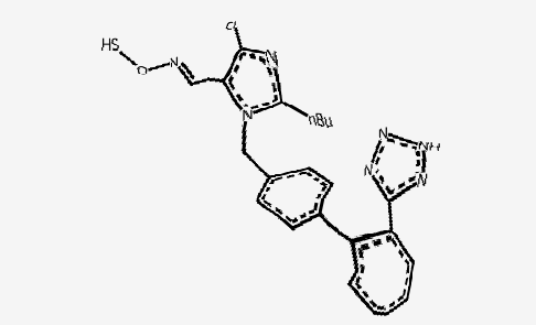 CCCCc1nc(Cl)c(C=NOS)n1Cc1ccc(-c2ccccc2-c2nn[nH]n2)cc1